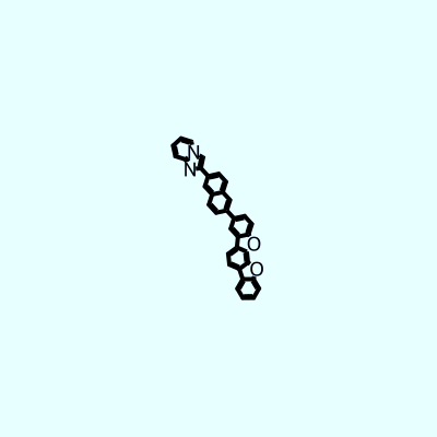 c1ccc2c(c1)oc1c2ccc2c3cc(-c4ccc5cc(-c6cn7ccccc7n6)ccc5c4)ccc3oc21